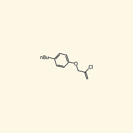 C=C(Cl)COc1ccc(CCCC)cc1